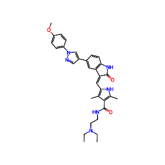 CCN(CC)CCNC(=O)c1c(C)[nH]c(/C=C2\C(=O)Nc3ccc(-c4cnn(-c5ccc(OC)cc5)c4)cc32)c1C